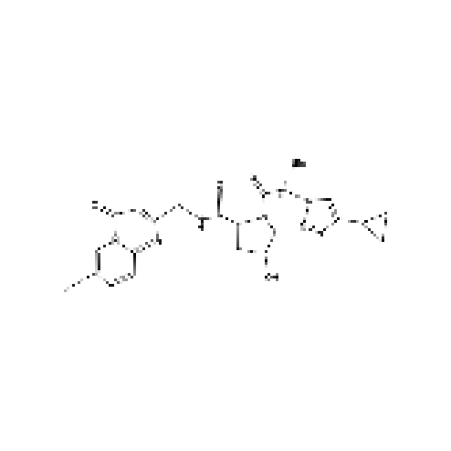 CC(C)(C)[C@@H](C(=O)N1CC(O)CC1C(=O)NCc1cc(=O)n2cc(Br)ccc2n1)n1cc(C2CC2)nn1